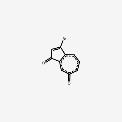 O=C1C=C(Br)c2cccc(=O)cc21